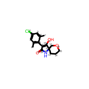 Cc1cc(Cl)cc(C)c1C1=C(O)C2(CCCOC2)NC1=O